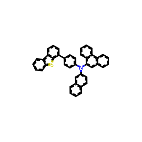 c1ccc2cc(N(c3ccc(-c4cccc5c4sc4ccccc45)cc3)c3cc4ccccc4c4ccccc34)ccc2c1